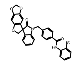 CCc1ccccc1NC(=O)c1ccc(CN2C(=O)C3(COc4cc5c(cc43)OCO5)c3ccccc32)cc1